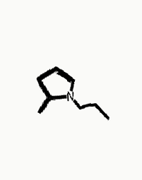 CCCN1C=CCC1C